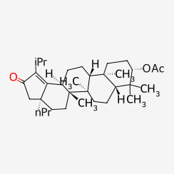 CCC[C@@]12CC[C@]3(C)[C@H](CC[C@@H]4[C@@]5(C)CC[C@H](OC(C)=O)C(C)(C)[C@@H]5CC[C@]43C)C1=C(C(C)C)C(=O)C2